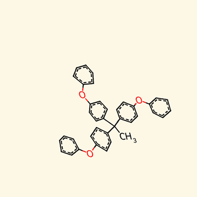 CC(c1ccc(Oc2ccccc2)cc1)(c1ccc(Oc2ccccc2)cc1)c1ccc(Oc2ccccc2)cc1